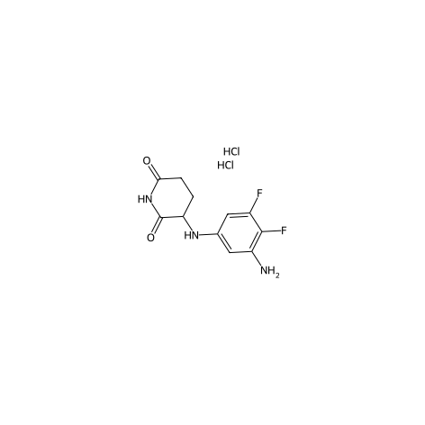 Cl.Cl.Nc1cc(NC2CCC(=O)NC2=O)cc(F)c1F